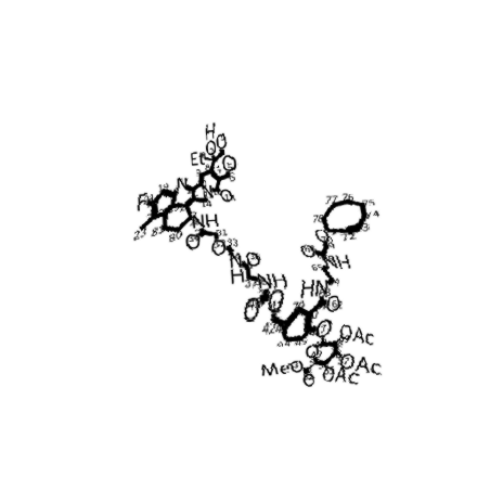 CC[C@@]1(O)C(=O)OCc2c1cc1n(c2=O)Cc2c-1nc1cc(F)c(C)c3c1c2[C@@H](NC(=O)COCNC(=O)CNC(=O)OCc1ccc(O[C@@H]2O[C@H](C(=O)OC)[C@@H](OC(C)=O)[C@H](OC(C)=O)[C@H]2OC(C)=O)c(C(=O)NCCNC(=O)COC2C#CCCCCC2)c1)CC3